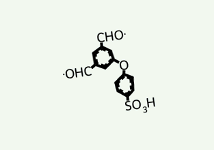 O=[C]c1cc([C]=O)cc(Oc2ccc(S(=O)(=O)O)cc2)c1